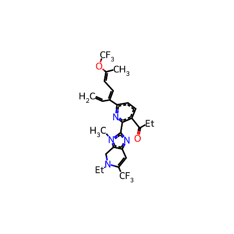 C=C/C(=C\C=C(/C)OC(F)(F)F)c1ccc(C(=O)CC)c(-c2nc3c(n2C)CN(CC)C(C(F)(F)F)=C3)n1